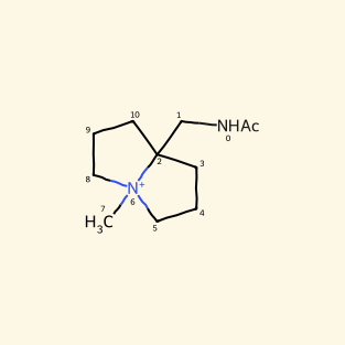 CC(=O)NCC12CCC[N+]1(C)CCC2